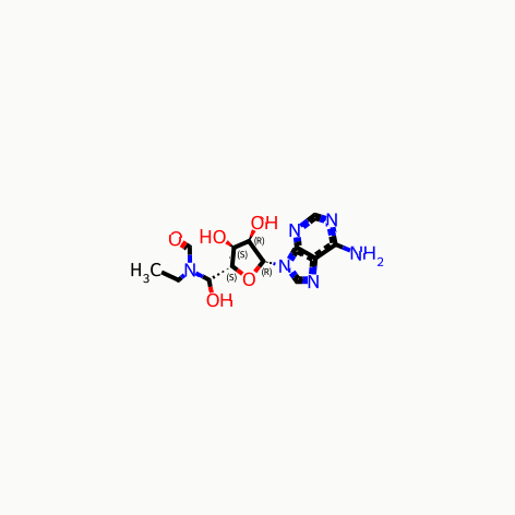 CCN(C=O)C(O)[C@H]1O[C@@H](n2cnc3c(N)ncnc32)[C@H](O)[C@@H]1O